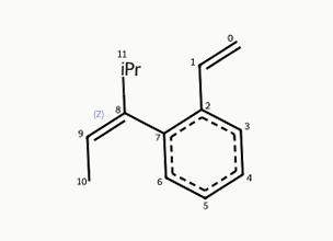 C=Cc1ccccc1/C(=C\C)C(C)C